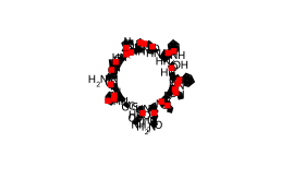 CCCC[C@H]1C(=O)N(C)[C@@H](CCCC)C(=O)N[C@@H](CCCNC(N)=O)C(=O)N[C@H](C(=O)NCC(N)=O)CSCC(=O)N[C@@H](Cc2ccccc2)C(=O)N(C)[C@@H](C)C(=O)N[C@@H](CC(N)=O)C(=O)N2CCC[C@H]2C(=O)N[C@@H](Cc2cnc[nH]2)C(=O)N[C@@H](CC(C)C)C(=O)N2CCC[C@H]2C(=O)N[C@@H](Cc2c[nH]c3ccccc23)C(=O)N[C@@H](CO)C(=O)N[C@@H](Cc2c[nH]c3ccccc23)C(=O)N1C